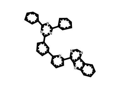 c1ccc(-c2nc(-c3ccccc3)nc(-c3cccc(-c4cccc(-c5ncnc6c5oc5ccccc56)n4)c3)n2)cc1